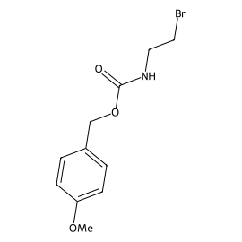 COc1ccc(COC(=O)NCCBr)cc1